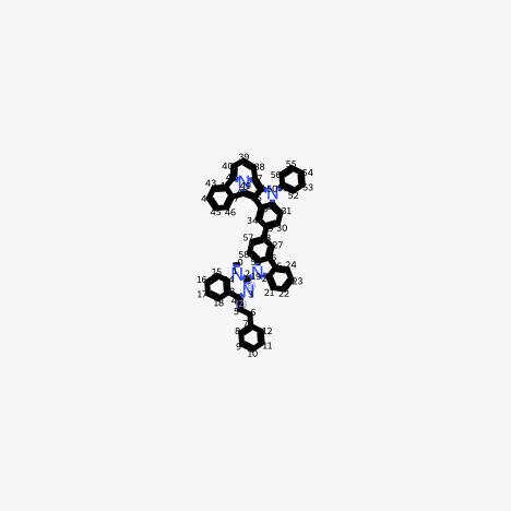 C=N/C(=N\C(=C/Cc1ccccc1)c1ccccc1)n1c2ccccc2c2cc(-c3ccc4c(c3)c3c(c5cccc6c7ccccc7c3n65)n4-c3ccccc3)ccc21